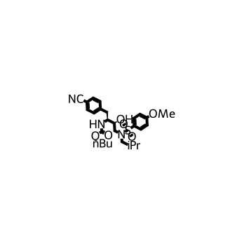 CCCCOC(=O)N[C@@H](Cc1ccc(C#N)cc1)[C@H](O)CN(CC(C)C)S(=O)(=O)c1ccc(OC)cc1